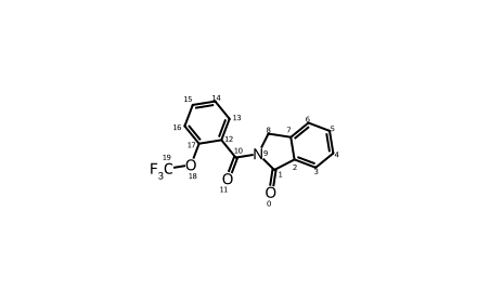 O=C1c2ccccc2CN1C(=O)c1ccccc1OC(F)(F)F